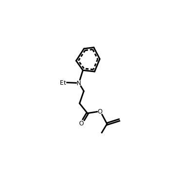 C=C(C)OC(=O)CCN(CC)c1ccccc1